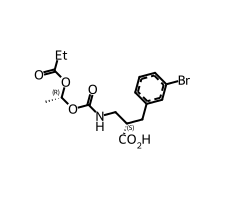 CCC(=O)O[C@@H](C)OC(=O)NC[C@H](Cc1cccc(Br)c1)C(=O)O